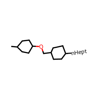 CCCCCCCC1CCC(COC2CCC(C)CC2)CC1